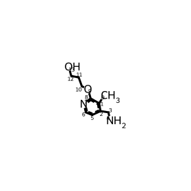 Cc1c(CN)ccnc1OCCCO